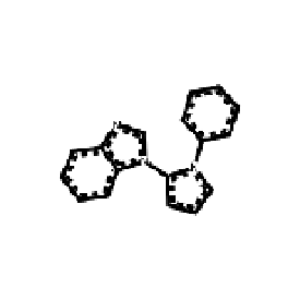 c1ccc(-n2cccc2-n2cnc3ccccc32)cc1